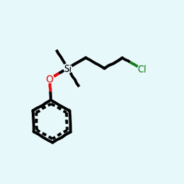 C[Si](C)(CCCCl)Oc1ccccc1